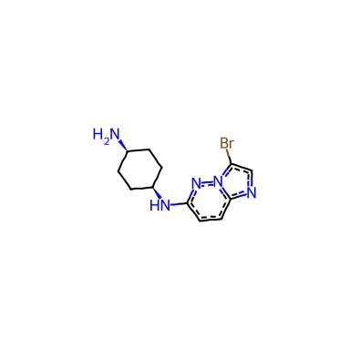 N[C@H]1CC[C@@H](Nc2ccc3ncc(Br)n3n2)CC1